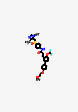 CCCOCCOc1ccc(-c2ccc(OC(F)F)c(/C=C/C(=O)Nc3ccc([S@+]([O-])Cc4c(C)ncn4CCC)cc3)c2)cc1